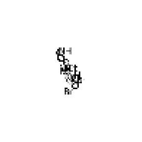 CCn1c(Oc2ccc3cc[nH]c3c2)nnc1[C@@H](C)NS(=O)(=O)c1cc(Br)ccc1Br